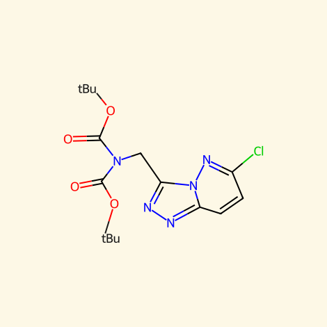 CC(C)(C)OC(=O)N(Cc1nnc2ccc(Cl)nn12)C(=O)OC(C)(C)C